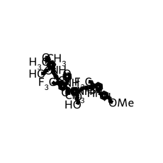 COCCN1CCC(Nc2cccc3c(CC(F)(F)F)c(C#CCNc4ccc(P(C)(=O)Cc5ccc6c(CC(F)(F)F)c(C#CCNc7ccc(P(C)(C)=O)cc7OCCO)sc6c5NC5CCOCC5)cc4OCCO)sc23)CC1